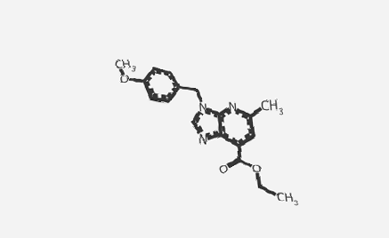 CCOC(=O)c1cc(C)nc2c1ncn2Cc1ccc(OC)cc1